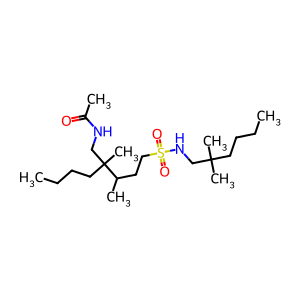 CCCCC(C)(C)CNS(=O)(=O)CCC(C)C(C)(CCCC)CNC(C)=O